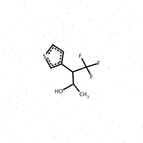 CC(O)C(c1ccsc1)C(F)(F)F